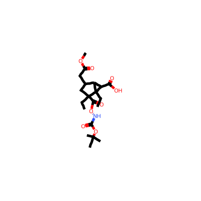 CCC1(C(=O)ONC(=O)OC(C)(C)C)CC(CC(=O)OC)C2C(C(=O)O)C21CC